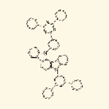 c1ccc(-c2cc(-c3ccccc3)cc(-n3c4ccccc4c4c3ccc3c5ccccc5n(-c5cccc(-c6nc(-c7ccccc7)nc(-c7ccccc7)n6)c5)c34)c2)cc1